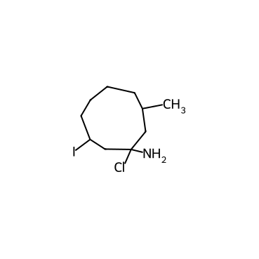 CC1CCCCC(I)CC(N)(Cl)C1